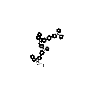 Cn1c2ccc(-c3ccc(N(c4ccccc4)c4ccc(Cn5c6ccc(-c7ccc(-c8ccc(N(c9ccccc9)c9ccccc9)cc8)cc7)cc6c6c7ccccc7ccc65)cc4)cc3)cc2c2c3ccccc3ccc21